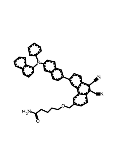 N#Cc1c(C#N)c2ccc(-c3ccc4cc(N(c5ccccc5)c5cccc6ccccc56)ccc4c3)cc2c2cc(COCCCCC(N)=O)ccc12